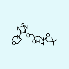 CC(C)(C)CC(=O)NCC(O)COc1nsnc1N1CCOCC1